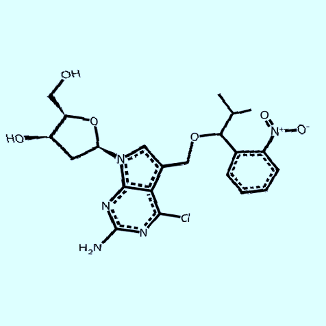 CC(C)C(OCc1cn([C@H]2C[C@@H](O)[C@@H](CO)O2)c2nc(N)nc(Cl)c12)c1ccccc1[N+](=O)[O-]